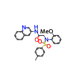 COc1ccccc1N(CC(=O)Nc1cnc2ccccc2c1)S(=O)(=O)c1ccc(C)cc1